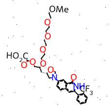 COCCOCCOCCOCCOC(COC(=O)C(=O)O)C[C@H]1CN(c2ccc3cc(-c4ccccc4C(F)(F)F)[nH]c(=O)c3c2)CO1